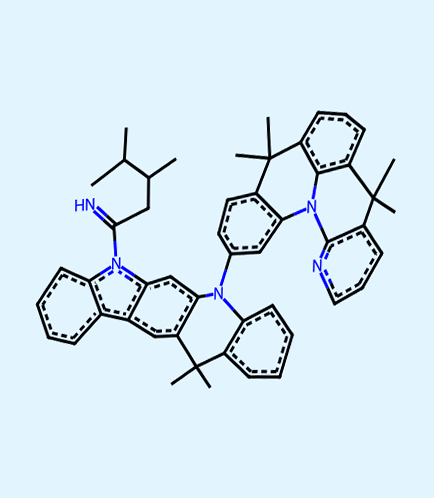 CC(C)C(C)CC(=N)n1c2ccccc2c2cc3c(cc21)N(c1ccc2c(c1)N1c4ncccc4C(C)(C)c4cccc(c41)C2(C)C)c1ccccc1C3(C)C